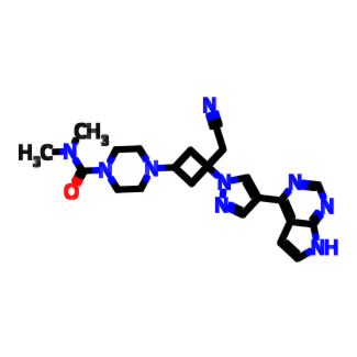 CN(C)C(=O)N1CCN(C2CC(CC#N)(n3cc(-c4ncnc5[nH]ccc45)cn3)C2)CC1